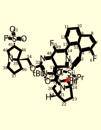 CC(C)[Si](C#Cc1c(F)ccc2cccc(-c3ncc4c(N5C[C@H]6CC[C@@H](C5)N6C(=O)OC(C)(C)C)nc(OC[C@@]56CCCN5C[C@H](S(=O)(=O)F)C6)nc4c3F)c12)(C(C)C)C(C)C